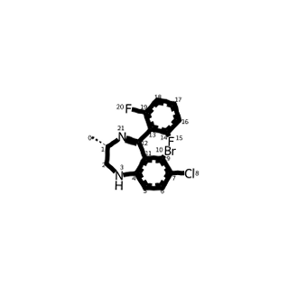 C[C@H]1CNc2ccc(Cl)c(Br)c2C(c2c(F)cccc2F)=N1